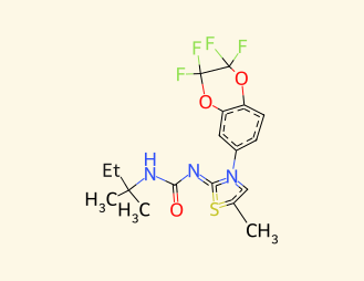 CCC(C)(C)NC(=O)N=c1sc(C)cn1-c1ccc2c(c1)OC(F)(F)C(F)(F)O2